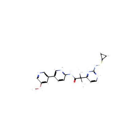 CCOc1cncc(-c2ccc(NC(=O)C(C)(C)c3ccnc(NSC4CC4)n3)nc2)c1